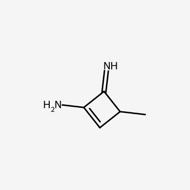 CC1C=C(N)C1=N